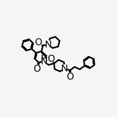 O=C(CCc1ccccc1)N1CCC(O)(Cn2cc(C(=O)N3CCCCC3)c(-c3ccccc3)cc2=O)CC1